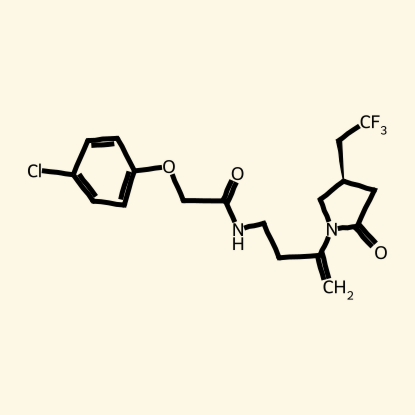 C=C(CCNC(=O)COc1ccc(Cl)cc1)N1C[C@@H](CC(F)(F)F)CC1=O